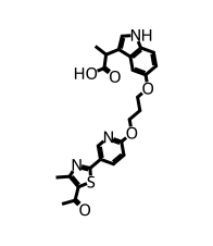 CC(=O)c1sc(-c2ccc(OCCCOc3ccc4[nH]cc(C(C)C(=O)O)c4c3)nc2)nc1C